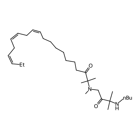 CC/C=C\C/C=C\C/C=C\CCCCCCCC(=O)C(C)(C)N(C)CC(=O)C(C)(C)NCCCC